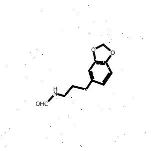 O=CNCCCc1ccc2c(c1)OCO2